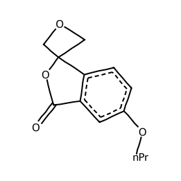 CCCOc1ccc2c(c1)C(=O)OC21COC1